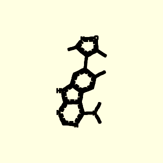 Cc1cc2c(cc1-c1c(C)noc1C)[nH]c1ncnc(N(C)C)c12